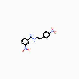 N=C(N/C=C/c1ccc([N+](=O)[O-])cc1)c1cccc([N+](=O)[O-])c1